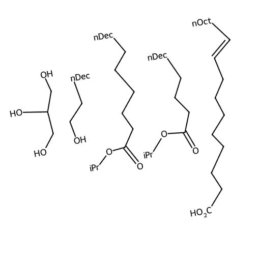 CCCCCCCCC=CCCCCCCCC(=O)O.CCCCCCCCCCCCCC(=O)OC(C)C.CCCCCCCCCCCCCCCC(=O)OC(C)C.CCCCCCCCCCCCO.OCC(O)CO